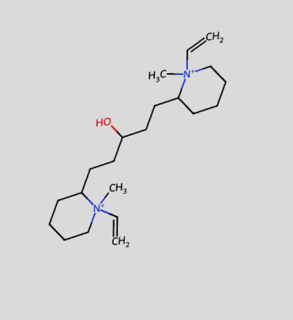 C=C[N+]1(C)CCCCC1CCC(O)CCC1CCCC[N+]1(C)C=C